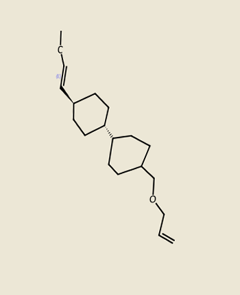 C=CCOCC1CCC([C@H]2CC[C@H](/C=C/CC)CC2)CC1